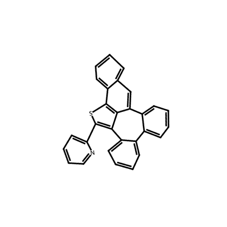 c1ccc(-c2sc3c4c(cc5ccccc53)-c3ccccc3-c3ccccc3-c24)nc1